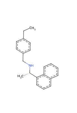 CCc1ccc(CN[C@@H](C)c2cccc3ccccc23)cc1